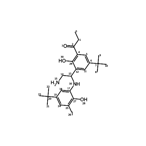 CCC(=O)c1cc(C(C)(C)C)cc(C(CN)Nc2cc(C(C)(C)C)cc(I)c2O)c1O